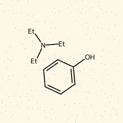 CCN(CC)CC.Oc1ccccc1